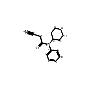 N#CCC(=O)N(c1ccccc1)C1CCCCC1